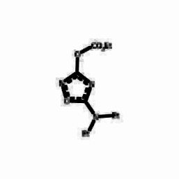 CCOC(=O)Oc1noc(N(CC)CC)n1